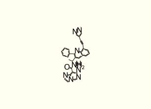 CC(NC(=O)c1c(N)ncn2ccnc12)c1cc2cccc(C#Cc3cnn(C)c3)c2nc1-c1ccccc1